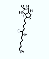 CC(C)CCCCCNC(=O)CCCC[C@@H]1SC[C@@H]2NC(=O)N[C@@H]21